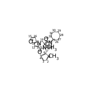 Cc1ccccc1CN1C(=O)c2cc3occc3n2CC1(C)C(=O)NC1CCCCCCC1